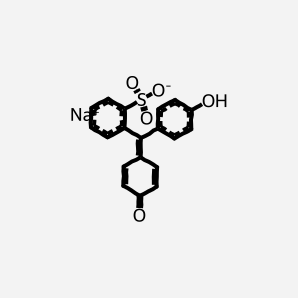 O=C1C=CC(=C(c2ccc(O)cc2)c2ccccc2S(=O)(=O)[O-])C=C1.[Na+]